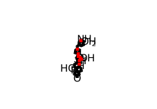 C[C@]12C=CC(=O)C=C1CC[C@H]1C3C[C@H]4O[C@@H](c5ccc(Cc6ccc(O)c(N)c6)cc5)C[C@@]4(C(=O)CO)[C@@]3(C)C[C@H](O)[C@@H]12